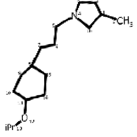 CC1CCN(CCCC2CCC(OC(C)C)CC2)C1